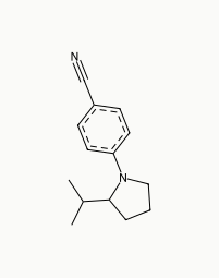 CC(C)C1CCCN1c1ccc(C#N)cc1